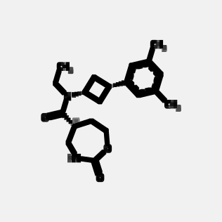 CCN(C(=O)[C@@H]1CCOC(=O)NC1)[C@H]1C[C@@H](c2cc(C)cc(C)c2)C1